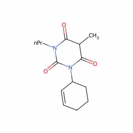 CCCN1C(=O)C(C)C(=O)N(C2C=CCCC2)C1=O